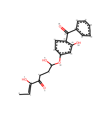 CC=C(O)C(=O)CCC(O)Oc1ccc(C(=O)c2ccccc2)c(O)c1